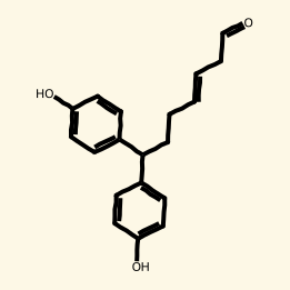 O=CCC=CCCC(c1ccc(O)cc1)c1ccc(O)cc1